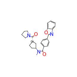 CN(C(=O)c1ccc(-c2nc3ccccc3o2)cc1)C1CC[C@H](C(=O)N2CCCC2)C1